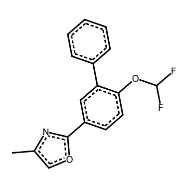 Cc1coc(-c2ccc(OC(F)F)c(-c3ccccc3)c2)n1